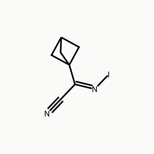 N#C/C(=N/I)C12CC(C1)C2